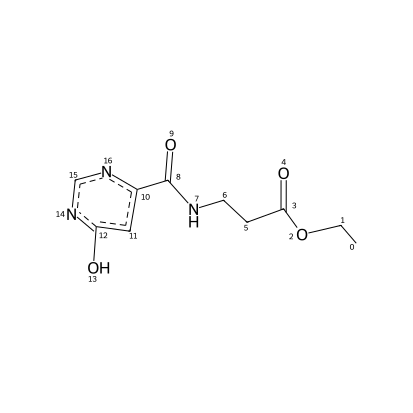 CCOC(=O)CCNC(=O)c1cc(O)ncn1